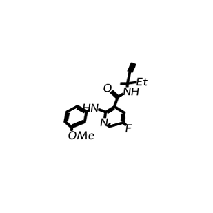 C#CC(C)(CC)NC(=O)c1cc(F)cnc1Nc1cccc(OC)c1